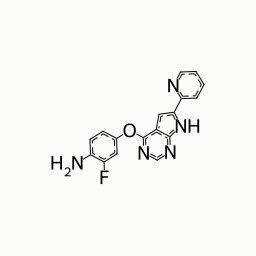 Nc1ccc(Oc2ncnc3[nH]c(-c4ccccn4)cc23)cc1F